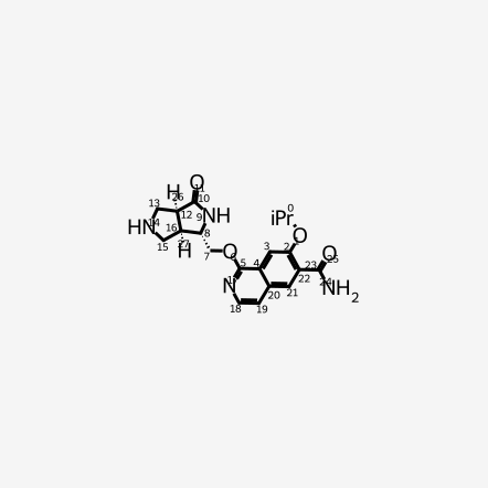 CC(C)Oc1cc2c(OC[C@H]3NC(=O)[C@@H]4CNC[C@H]34)nccc2cc1C(N)=O